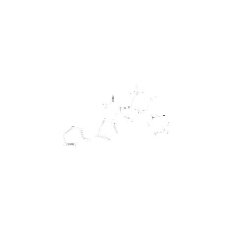 NC(=O)c1c2n(n[14c]1-c1ccc(Oc3ccccc3)cc1)[C@H](C1CCNCC1)CCN2